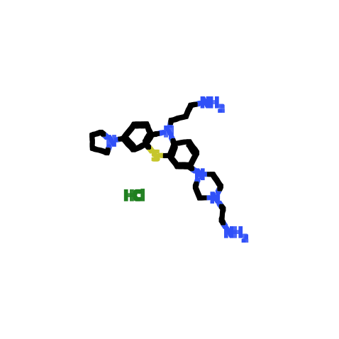 Cl.NCCCN1c2ccc(N3CCCC3)cc2Sc2cc(N3CCN(CCN)CC3)ccc21